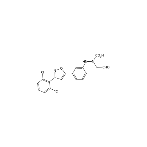 O=CCN(Nc1cccc(-c2cc(-c3c(Cl)cccc3Cl)no2)c1)C(=O)O